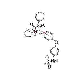 CCCCN(C(=O)Nc1ccccc1)C1C2CCC1CN(Cc1ccc(Oc3ccc(NS(C)(=O)=O)cc3)cc1)C2